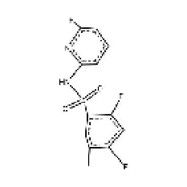 Cc1cc(S(=O)(=O)Nc2cccc(F)n2)c(F)cc1F